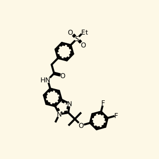 CCS(=O)(=O)c1ccc(CC(=O)Nc2ccc3c(c2)nc(C(C)(C)Oc2ccc(F)c(F)c2)n3C)cc1